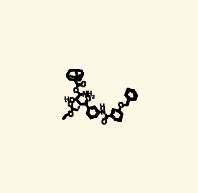 CCOC(=O)C[C@@H](C(=O)c1cccc(NC(=O)c2cccc(OCc3ccccc3)c2)c1)[C@H](O)C(N)OC(=O)C12CC3CC(CC(C3)C1)C2